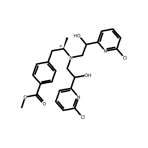 COC(=O)c1ccc(C[C@@H](C)N(CC(O)c2cccc(Cl)n2)CC(O)c2cccc(Cl)n2)cc1